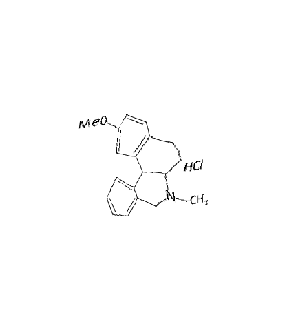 COc1ccc2c(c1)C1c3ccccc3CN(C)C1CC2.Cl